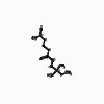 CCC(C)(C)OOC(=O)CCCC(=O)Cl